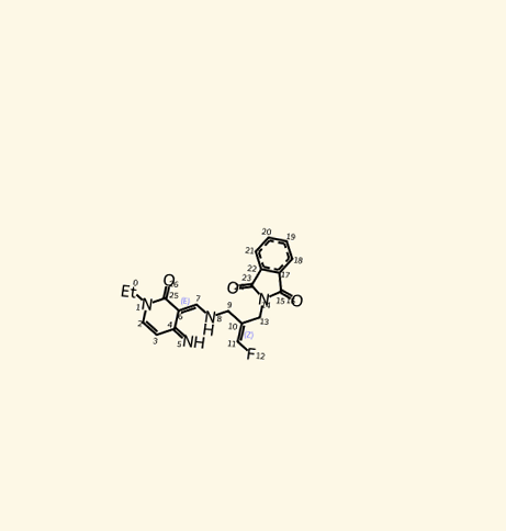 CCN1C=CC(=N)/C(=C\NC/C(=C/F)CN2C(=O)c3ccccc3C2=O)C1=O